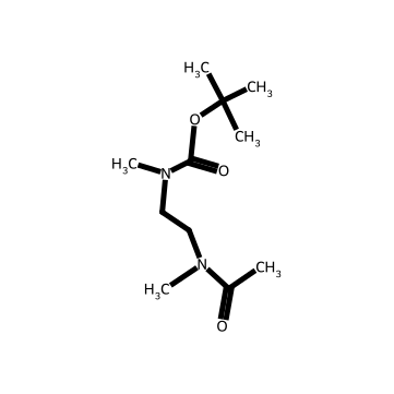 CC(=O)N(C)CCN(C)C(=O)OC(C)(C)C